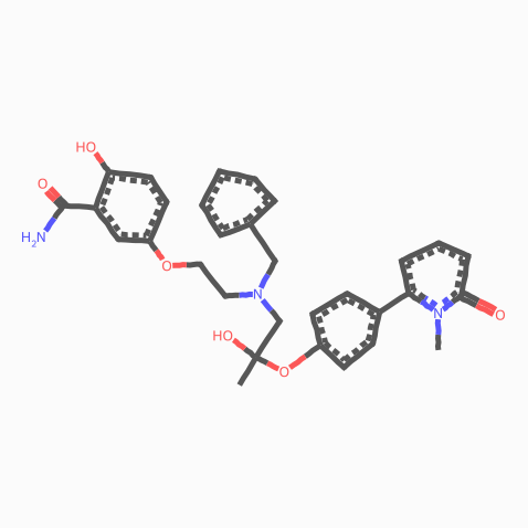 Cn1c(-c2ccc(OC(C)(O)CN(CCOc3ccc(O)c(C(N)=O)c3)Cc3ccccc3)cc2)cccc1=O